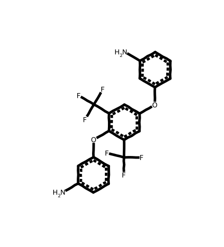 Nc1cccc(Oc2cc(C(F)(F)F)c(Oc3cccc(N)c3)c(C(F)(F)F)c2)c1